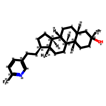 CCC[C@@]1(O)CC[C@H]2[C@H](CC[C@@H]3[C@@H]2CC[C@]2(C)[C@@H](CCc4ccc(C(F)(F)F)nc4)CC[C@@H]32)C1